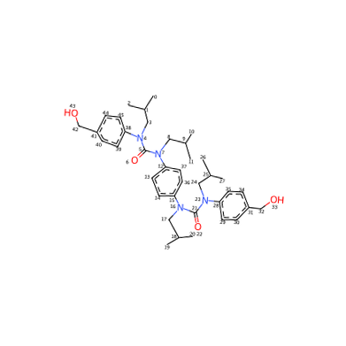 CC(C)CN(C(=O)N(CC(C)C)c1ccc(N(CC(C)C)C(=O)N(CC(C)C)c2ccc(CO)cc2)cc1)c1ccc(CO)cc1